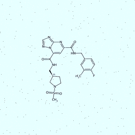 Cc1cc(CNC(=O)c2cc(C(=O)NC[C@H]3CCN(S(C)(=O)=O)C3)n3ncnc3n2)ccc1F